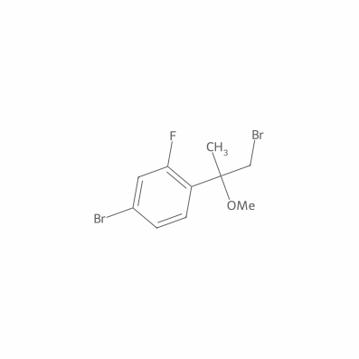 COC(C)(CBr)c1ccc(Br)cc1F